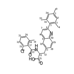 Cc1cc(C)c(-c2ccc3cc(CC(NC(=O)c4c(C)cccc4Cl)C(=O)O)ccc3n2)c(C)c1